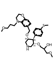 COCCCN1CCOc2ccc(CO[C@H]3CNC[C@@H](OCC(O)COC)[C@@H]3c3ccc(SC)cc3)cc21